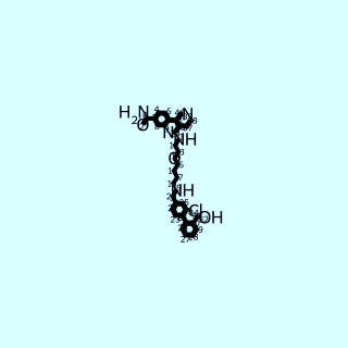 NC(=O)c1ccc2c(c1)nc(NCCOCCCCNCc1ccc(-c3ccccc3CO)c(Cl)c1)c1ccncc12